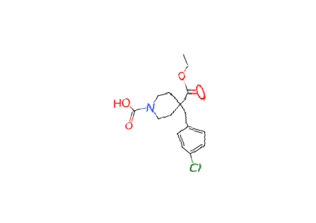 CCOC(=O)C1(Cc2ccc(Cl)cc2)CCN(C(=O)O)CC1